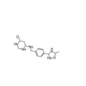 CC1NC(c2ccc(CNC3CC(Cl)NCN3)cc2)NO1